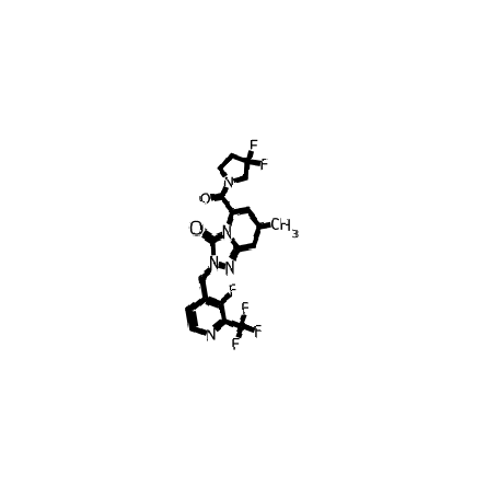 CC1Cc2nn(Cc3ccnc(C(F)(F)F)c3F)c(=O)n2C(C(=O)N2CCC(F)(F)C2)C1